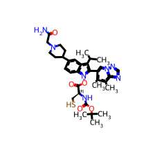 Cc1c(-c2c(C(C)C)c3cc(C4CCN(CC(N)=O)CC4)ccc3n2OC(=O)[C@H](CS)NC(=O)OC(C)(C)C)cn2ncnc2c1C